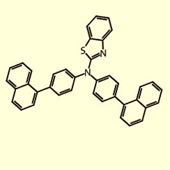 c1ccc2c(-c3ccc(N(c4ccc(-c5cccc6ccccc56)cc4)c4nc5ccccc5s4)cc3)cccc2c1